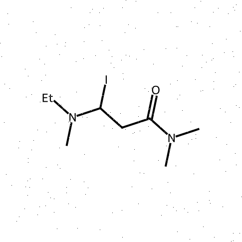 CCN(C)C(I)CC(=O)N(C)C